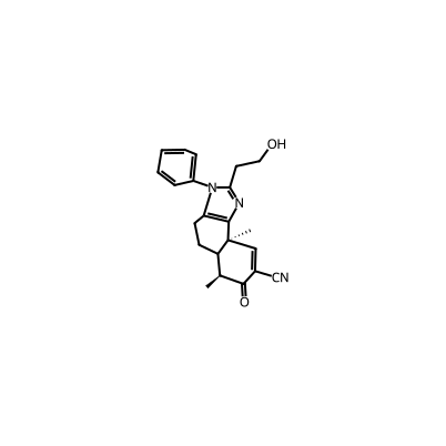 C[C@@H]1C(=O)C(C#N)=C[C@]2(C)c3nc(CCO)n(-c4ccccc4)c3CCC12